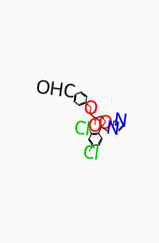 O=Cc1ccc(OCC2COC(Cn3ccnc3)(c3ccc(Cl)cc3Cl)O2)cc1